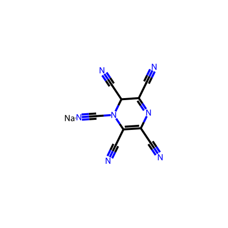 N#CC1=NC(C#N)=C(C#N)N(C#N)C1C#N.[Na]